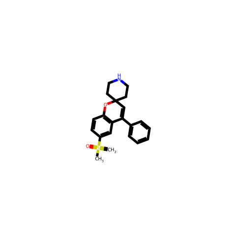 C=S(C)(=O)c1ccc2c(c1)C(c1ccccc1)=CC1(CCNCC1)O2